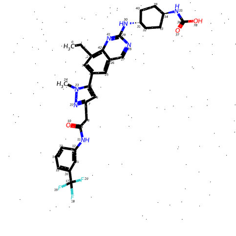 CCc1cc(-c2cc(CC(=O)Nc3cccc(C(F)(F)F)c3)nn2C)cc2cnc(N[C@H]3CC[C@H](NC(=O)O)CC3)nc12